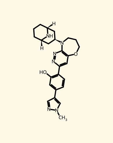 Cn1cc(-c2ccc(-c3cc4c(nn3)N([C@@H]3C[C@H]5CCC[C@@H](C3)N5)CCCO4)c(O)c2)cn1